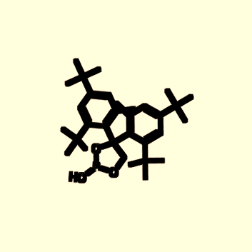 Cc1cc(C(C)(C)C)cc(C(C)(C)C)c1C1(c2c(C)cc(C(C)(C)C)cc2C(C)(C)C)COP(O)O1